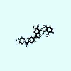 C[C@@H](Oc1c(N)ncc2c1OCC2C1=CCN(C(=O)N2CCNCC2)CC1)c1c(Cl)ccc(F)c1Cl